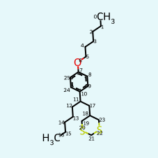 CCCCCCOc1ccc(C(CCCCC)CC2CSCSC2)cc1